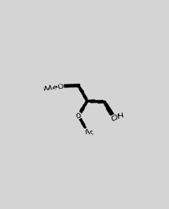 COCC(CO)OC(C)=O